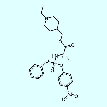 CCN1CCC(COC(=O)[C@H](C)NP(=O)(Oc2ccccc2)Oc2ccc([N+](=O)[O-])cc2)CC1